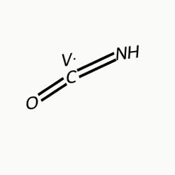 N=C=O.[V]